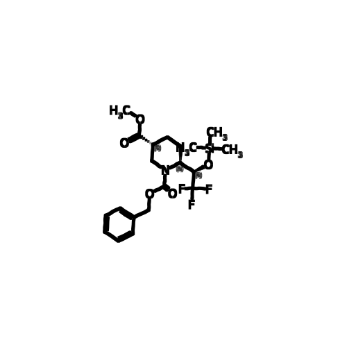 COC(=O)[C@@H]1CC[C@@H]([C@@H](O[Si](C)(C)C)C(F)(F)F)N(C(=O)OCc2ccccc2)C1